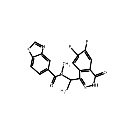 CC(c1n[nH]c(=O)c2cc(F)c(F)cc12)N(C)C(=O)c1ccc2scnc2c1